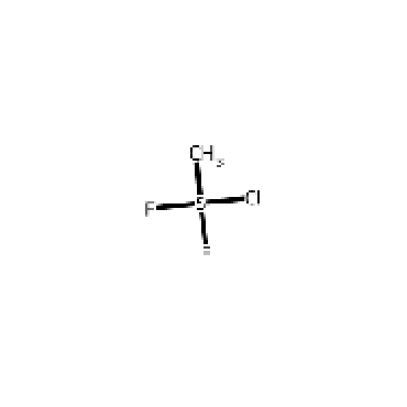 CS(F)(F)Cl